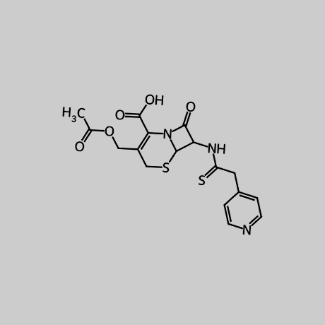 CC(=O)OCC1=C(C(=O)O)N2C(=O)C(NC(=S)Cc3ccncc3)C2SC1